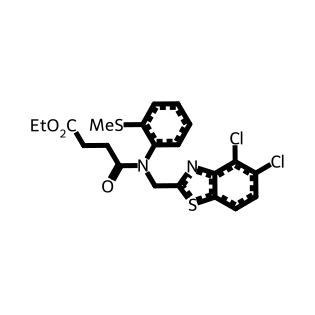 CCOC(=O)CCC(=O)N(Cc1nc2c(Cl)c(Cl)ccc2s1)c1ccccc1SC